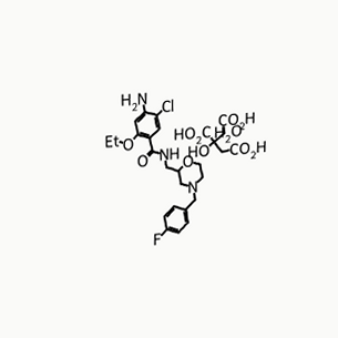 CCOc1cc(N)c(Cl)cc1C(=O)NCC1CN(Cc2ccc(F)cc2)CCO1.O.O=C(O)CC(O)(CC(=O)O)C(=O)O